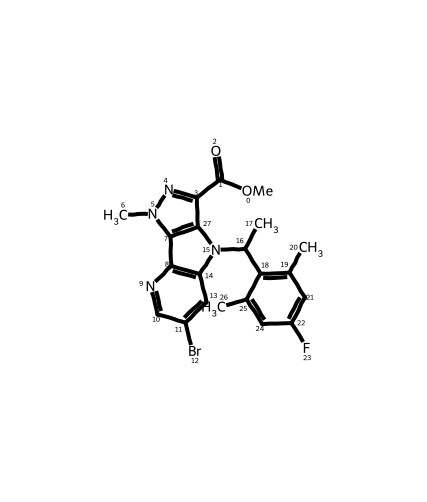 COC(=O)c1nn(C)c2c3ncc(Br)cc3n(C(C)c3c(C)cc(F)cc3C)c12